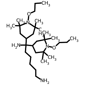 CCCON1C(C)(C)CC(C(N)(CCCCCN)C2CC(C)(C)N(OCCC)C(C)(C)C2)CC1(C)C